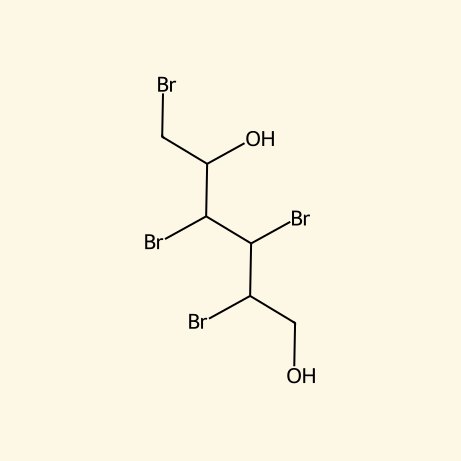 OCC(Br)C(Br)C(Br)C(O)CBr